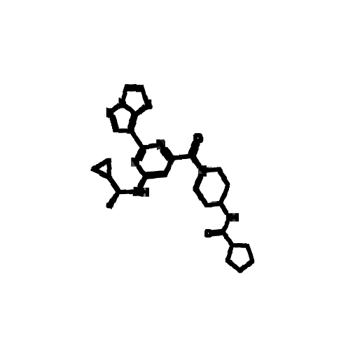 C[C@H](Nc1cc(C(=O)N2CCC(NC(=O)C3CCCC3)CC2)nc(-c2cnn3ccsc23)n1)C1CC1